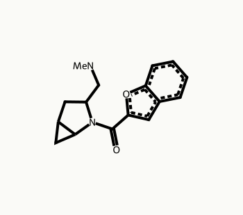 CNCC1CC2CC2N1C(=O)c1cc2ccccc2o1